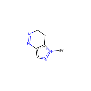 CC(C)n1ncc2c1CCN=N2